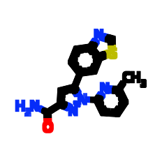 Cc1cccc(-n2nc(C(N)=O)cc2-c2ccc3ncsc3c2)n1